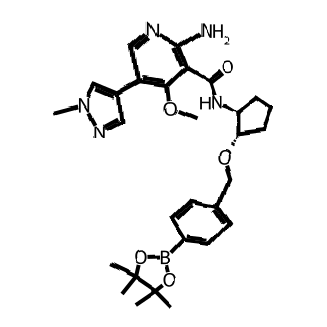 COc1c(-c2cnn(C)c2)cnc(N)c1C(=O)N[C@H]1CCC[C@@H]1OCc1ccc(B2OC(C)(C)C(C)(C)O2)cc1